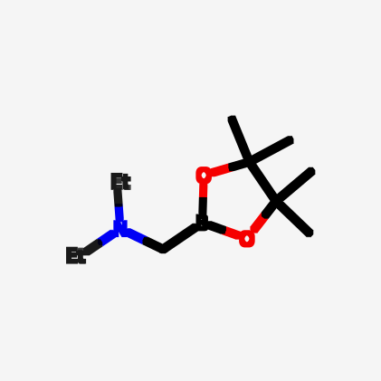 CCN(CC)CB1OC(C)(C)C(C)(C)O1